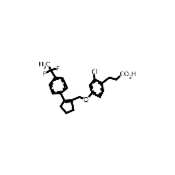 CC(F)(F)c1ccc(C2=C(COc3ccc(CCC(=O)O)c(Cl)c3)CCC2)cc1